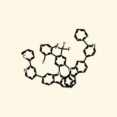 Fc1cccc(F)c1-c1cc(-n2c3ccccc3c3ccc(-c4ccnc(-c5ccccc5)c4)cc32)c(-n2c3ccccc3c3ccc(-c4ccnc(-c5ccccc5)c4)cc32)cc1C(F)(F)F